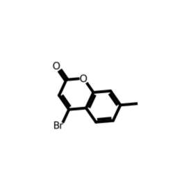 Cc1ccc2c(Br)cc(=O)oc2c1